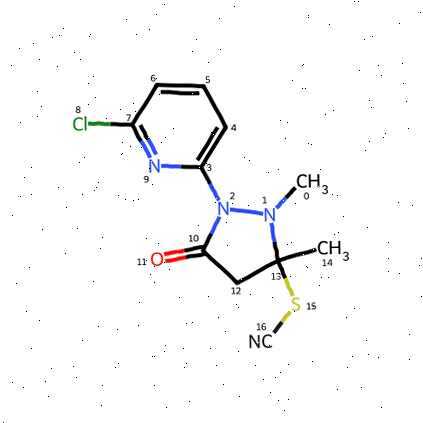 CN1N(c2cccc(Cl)n2)C(=O)CC1(C)SC#N